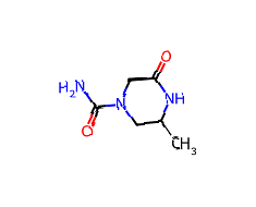 CC1CN(C(N)=O)CC(=O)N1